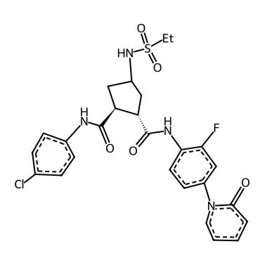 CCS(=O)(=O)NC1C[C@H](C(=O)Nc2ccc(Cl)cc2)[C@@H](C(=O)Nc2ccc(-n3ccccc3=O)cc2F)C1